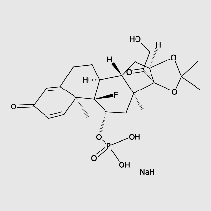 CC1(C)O[C@@H]2C[C@H]3[C@@H]4CCC5=CC(=O)C=C[C@]5(C)[C@@]4(F)[C@@H](OP(=O)(O)O)C[C@]3(C)[C@]2(C(=O)CO)O1.[NaH]